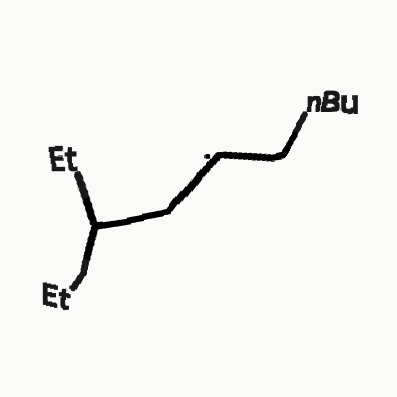 CCCCC[CH]CC(CC)CC